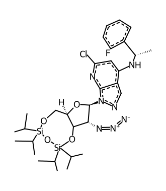 CC(C)[Si]1(C(C)C)OC[C@H]2O[C@@H](n3ncc4c(N[C@@H](C)c5ccccc5F)cc(Cl)nc43)[C@H](N=[N+]=[N-])C2O[Si](C(C)C)(C(C)C)O1